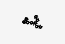 C1=CC(c2cc(-c3cccc(-c4ccccc4)c3)nc(-c3ccc(C4C=Cc5c(c6ccccc6c6ccccc56)C4)cc3)n2)CC(c2cccnc2)=C1